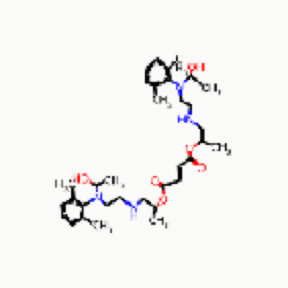 Cc1cccc(C)c1N(CCNCC(C)OC(=O)/C=C/C(=O)OC(C)CNCCN(c1c(C)cccc1C)C(C)O)C(C)O